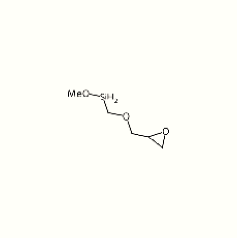 CO[SiH2]COCC1CO1